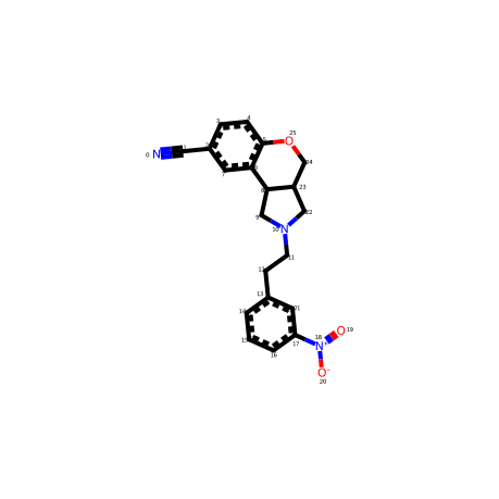 N#Cc1ccc2c(c1)C1CN(CCc3cccc([N+](=O)[O-])c3)CC1CO2